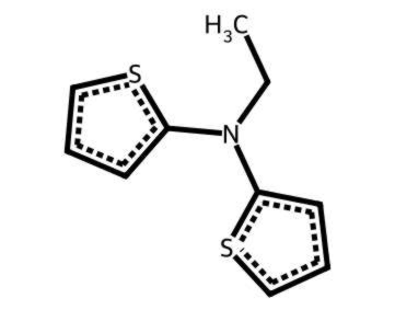 CCN(c1cccs1)c1cccs1